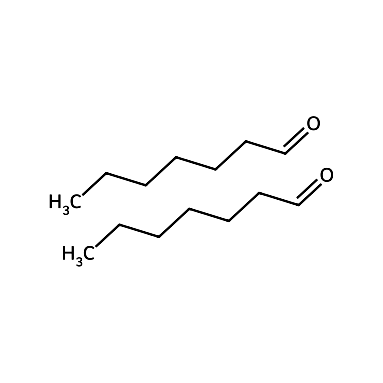 CCCCCCC=O.CCCCCCC=O